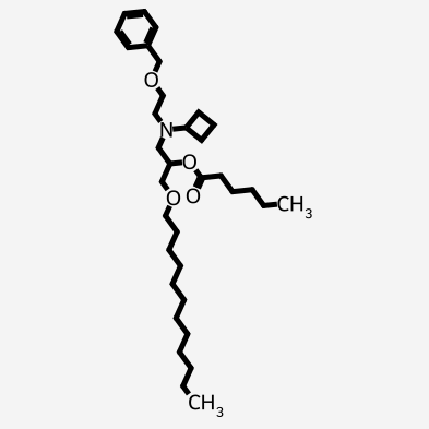 CCCCCCCCCCCCOCC(CN(CCOCc1ccccc1)C1CCC1)OC(=O)CCCCC